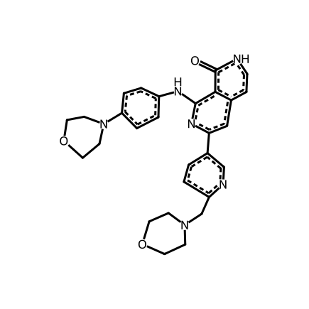 O=c1[nH]ccc2cc(-c3ccc(CN4CCOCC4)nc3)nc(Nc3ccc(N4CCOCC4)cc3)c12